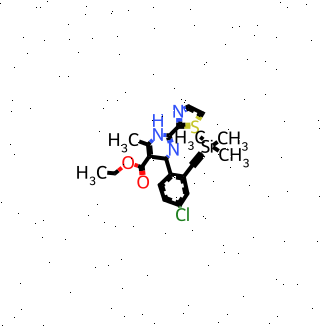 CCOC(=O)C1=C(C)NC(c2nccs2)=NC1c1ccc(Cl)cc1C#C[Si](C)(C)C